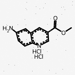 COC(=O)c1cnc2ccc(N)cc2c1.Cl.Cl